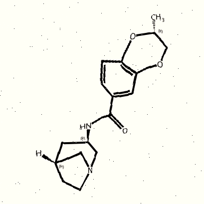 C[C@@H]1COc2cc(C(=O)N[C@@H]3C[C@H]4CCN(C4)C3)ccc2O1